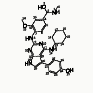 CNC(O)c1ccc(Nc2nc(NC3CCCCC3)c3c(-c4ccc(O)cc4)c[nH]c3n2)c(OC)c1